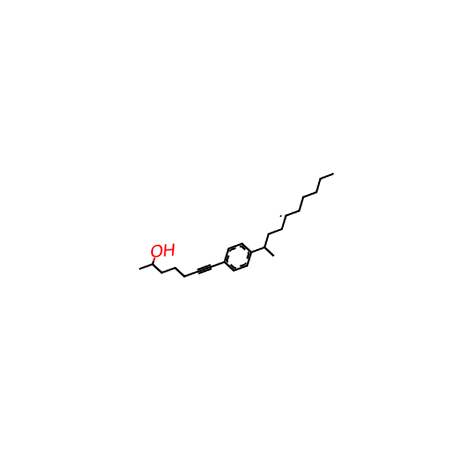 CCCCC[CH]CCC(C)c1ccc(C#CCCCC(C)O)cc1